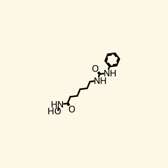 O=C(CCCCCNC(=O)Nc1ccccc1)NO